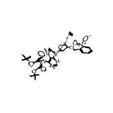 CC[C@H]1O[C@@H](n2cnc3c(N(C(=O)OC(C)(C)C)C(=O)OC(C)(C)C)ncnc32)CC1OCc1ccccc1[N+](=O)[O-]